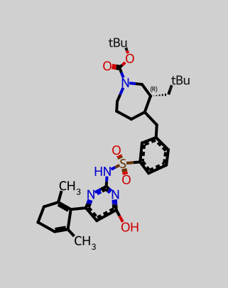 CC1=CCCC(C)=C1c1cc(O)nc(NS(=O)(=O)c2cccc(CC3CCCN(C(=O)OC(C)(C)C)C[C@@H]3CC(C)(C)C)c2)n1